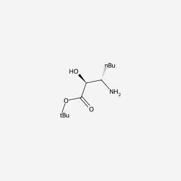 CCCC[C@H](N)[C@H](O)C(=O)OC(C)(C)C